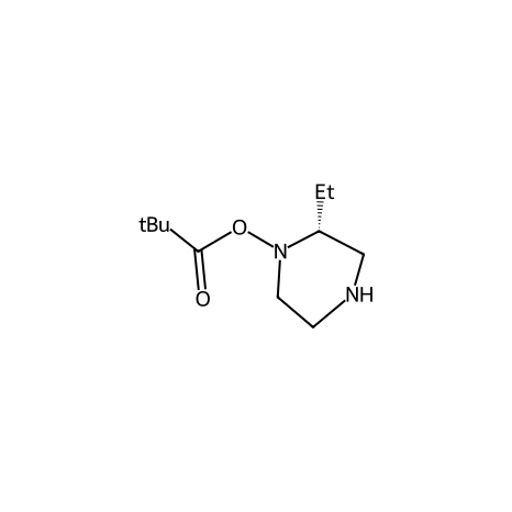 CC[C@@H]1CNCCN1OC(=O)C(C)(C)C